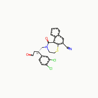 N#Cc1cc2ccccc2c2c1SCCN(C[C@@H](CC=O)c1ccc(Cl)c(Cl)c1)C2=O